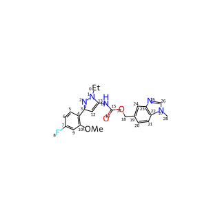 CCn1nc(-c2ccc(F)cc2OC)cc1NC(=O)OCc1ccc2c(c1)ncn2C